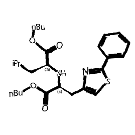 CCCCOC(=O)[C@H](Cc1csc(-c2ccccc2)n1)N[C@@H](CC(C)C)C(=O)OCCCC